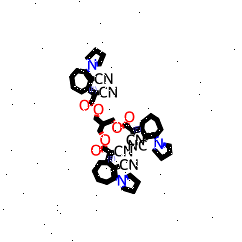 N#CC1=C(N2CCCC2)CCCC/C1=C(/C#N)C(=O)OCC(COC(=O)/C(C#N)=C1\CCCCC(N2CCCC2)=C1C#N)COC(=O)/C(C#N)=C1\CCCCC(N2CCCC2)=C1C#N